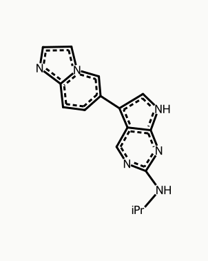 CC(C)Nc1ncc2c(-c3ccc4nccn4c3)c[nH]c2n1